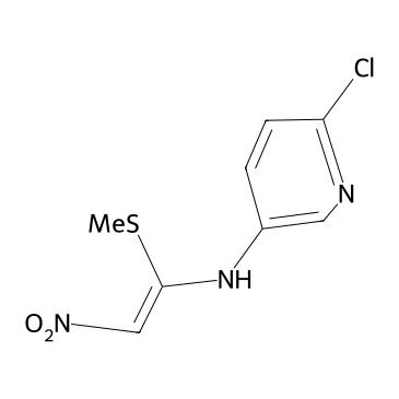 CS/C(=C\[N+](=O)[O-])Nc1ccc(Cl)nc1